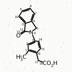 Cc1cc(N2Cc3ccccc3C2=O)ccc1CC(=O)O